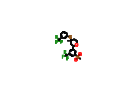 CC1(Sc2cccc(C(F)(F)F)c2)CCOC(c2cc(C(F)(F)F)cc(S(C)(=O)=O)c2)C1